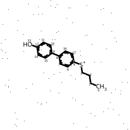 CCCCSc1ccc(-c2ccc(O)cc2)cc1